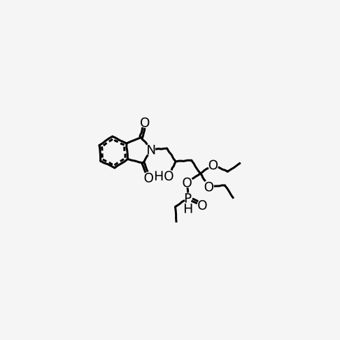 CCOC(CC(O)CN1C(=O)c2ccccc2C1=O)(OCC)O[PH](=O)CC